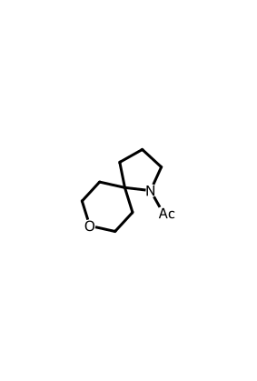 CC(=O)N1CCCC12CCOCC2